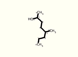 CCCC(C)CCC(C)O